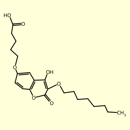 CCCCCCCCOc1c(O)c2cc(OCCCCC(=O)O)ccc2oc1=O